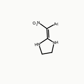 CC(=O)C(=C1NCCN1)[N+](=O)[O-]